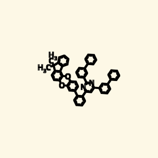 CC1(C)c2ccccc2-c2c1ccc1c2Oc2ccc(-c3ccccc3-c3cc(-c4cccc(-c5ccccc5)c4)nc(-c4cccc(-c5ccccc5)c4)n3)cc2O1